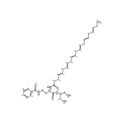 CCC=CCC=CCC=CCC=CCC=CCC=CCCC(=O)NC(CCNC(=O)c1cccnc1)C(=O)OC(CO)CO